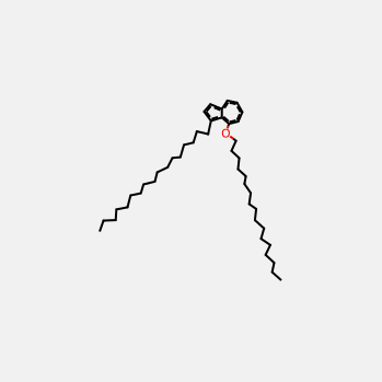 CCCCCCCCCCCCCCCCCOc1ccccc2ccc(CCCCCCCCCCCCCCCCC)c1-2